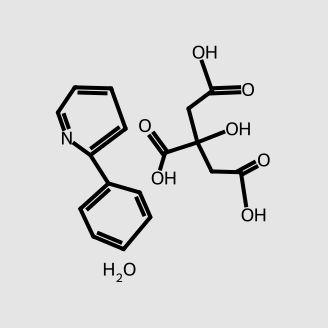 O.O=C(O)CC(O)(CC(=O)O)C(=O)O.c1ccc(-c2ccccn2)cc1